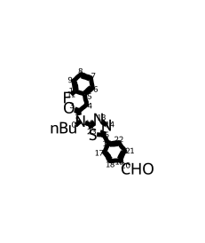 CCCCN(C(=O)Cc1ccccc1F)c1nnc(-c2ccc(C=O)cc2)s1